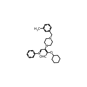 Cc1cccc(CN2CCN(/C(C=Nc3ccccc3)=C(/C=O)OC3CCCCC3)CC2)c1